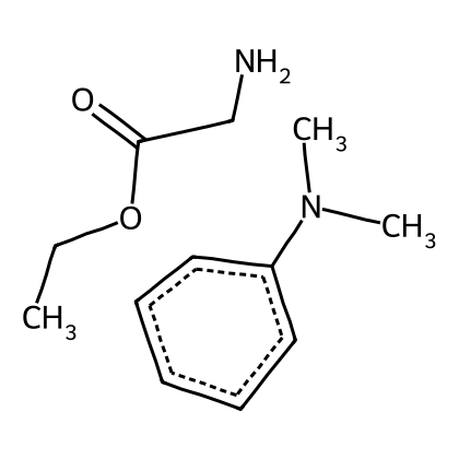 CCOC(=O)CN.CN(C)c1ccccc1